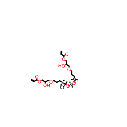 C=CC(=O)OCC(O)COCCC[Si](C)(C)O[Si](C)(C)OC(C)(CC)[Si](C)(C)CCCOCC(O)COC(=O)C=C